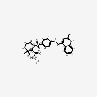 Cc1cc(COc2ccc(S(=O)(=O)N3CCSC(C)(C)[C@@H]3C(=O)NO)cc2)c2ccccc2n1